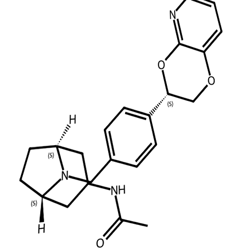 CC(=O)NC1C[C@@H]2CC[C@@H](C1)N2Cc1ccc([C@H]2COc3cccnc3O2)cc1